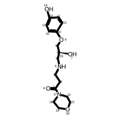 O=C(CCNC[C@H](O)COc1ccc(O)cc1)N1CCOCC1